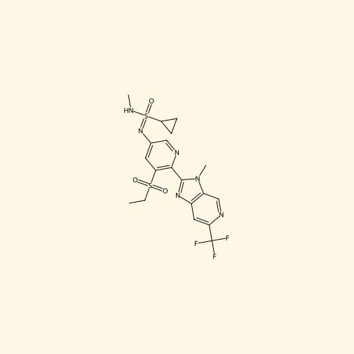 CCS(=O)(=O)c1cc(N=S(=O)(NC)C2CC2)cnc1-c1nc2cc(C(F)(F)F)ncc2n1C